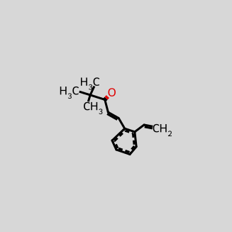 C=Cc1ccccc1/C=C/C(=O)C(C)(C)C